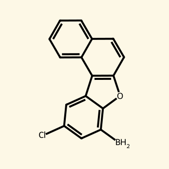 Bc1cc(Cl)cc2c1oc1ccc3ccccc3c12